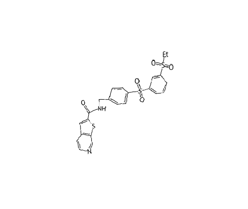 CCS(=O)(=O)c1cccc(S(=O)(=O)c2ccc(CNC(=O)c3cc4ccncc4s3)cc2)c1